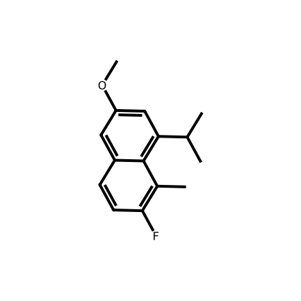 COc1cc(C(C)C)c2c(C)c(F)ccc2c1